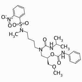 COC[C@@H](CN(CCCCN(C)S(=O)(=O)c1ccccc1[N+](=O)[O-])C(=O)NC(C)C)OC(=O)Nc1ccccc1